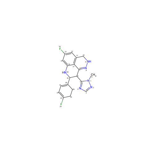 Cn1ncnc1C1C2=NNCc3cc(F)cc(c32)NC1C1=CC=C(F)CC1